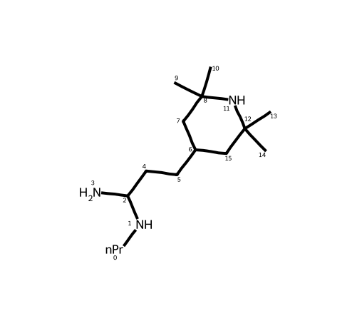 CCCNC(N)CCC1CC(C)(C)NC(C)(C)C1